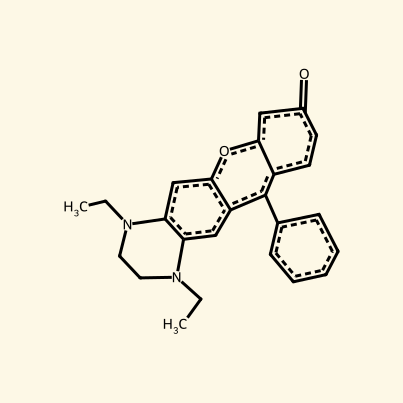 CCN1CCN(CC)c2cc3c(-c4ccccc4)c4ccc(=O)cc-4oc3cc21